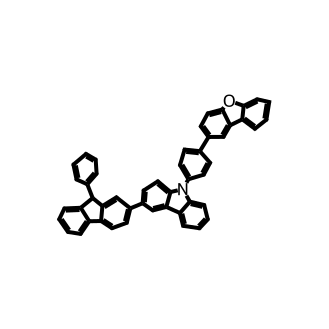 c1ccc(C2c3ccccc3-c3ccc(-c4ccc5c(c4)c4ccccc4n5-c4ccc(-c5ccc6oc7ccccc7c6c5)cc4)cc32)cc1